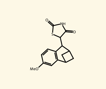 COc1ccc2c(c1)C1CC(C1)C2C1SC(=O)NC1=O